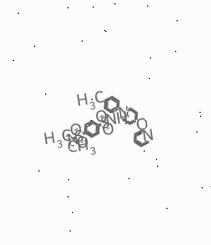 Cc1ccc(N2CCC(Oc3ccccn3)CC2)c(NS(=O)(=O)c2ccc(S(=O)(=O)N(C)C)cc2)c1